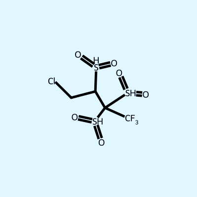 O=[SH](=O)C(CCl)C([SH](=O)=O)([SH](=O)=O)C(F)(F)F